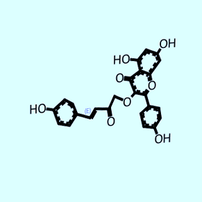 O=C(/C=C/c1ccc(O)cc1)COc1c(-c2ccc(O)cc2)oc2cc(O)cc(O)c2c1=O